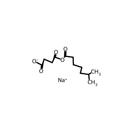 CC(C)CCCCC(=O)OC(=O)CCC(=O)[O-].[Na+]